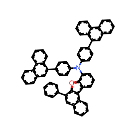 c1ccc(-c2cc3ccccc3c3c2oc2c(N(c4ccc(-c5cc6ccccc6c6ccccc56)cc4)c4ccc(-c5cc6ccccc6c6ccccc56)cc4)cccc23)cc1